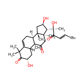 CC(C)(C)/C=C/C(=O)[C@](C)(O)[C@H]1[C@H](O)C[C@@]2(C)[C@@H]3CC=C4[C@@H](C[C@H](O)C(=O)C4(C)C)[C@]3(C)C(=O)C[C@]12C